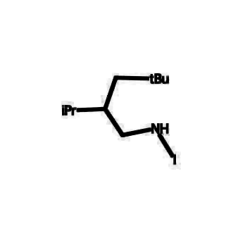 CC(C)C(CNI)CC(C)(C)C